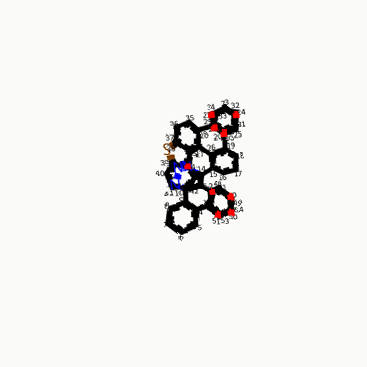 c1ccc(-c2ccccc2-c2nnnc(-c3cccc(-c4ccccc4)c3-c3c(-c4ccccc4)ccc4sc5ccccc5c34)c2-c2ccccc2)cc1